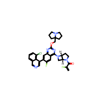 C=C(F)C(=O)N1CC[C@@H]2[C@H]1CN2c1nc(OCC23CCCN2CCC3)nc2cc(-c3cncc4cccc(Cl)c34)c(F)cc12